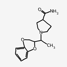 CC(C1COc2ccccc2O1)N1CCC(C(N)=O)CC1